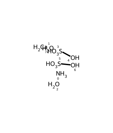 N.O.O.O=S(=O)(O)O.O=S(=O)(O)O.[CaH2]